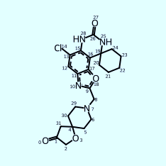 O=C1COC2(CCN(Cc3nc4cc(Cl)c5c(c4o3)C3(CCCCC3)NC(=O)N5)CC2)C1